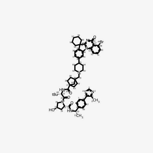 Cc1ncsc1-c1ccc([C@H](C)NC(=O)[C@@H]2C[C@@H](O)CN2C(=O)[C@@H](NC(=O)C23CCC(CN4CCC(c5ccc6c(c5)-n5c(nc(=O)c7c(Br)cccc75)C65CCCCC5)CC4)(CC2)C3)C(C)(C)C)cc1